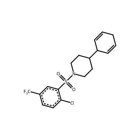 O=S(=O)(c1cc(C(F)(F)F)ccc1Cl)N1CCC(C2C=CCC=C2)CC1